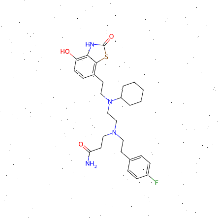 NC(=O)CCN(CCc1ccc(F)cc1)CCN(CCc1ccc(O)c2[nH]c(=O)sc12)C1CCCCC1